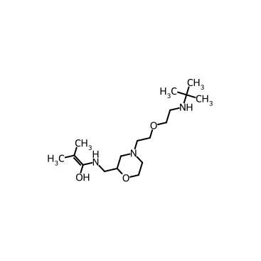 CC(C)=C(O)NCC1CN(CCOCCNC(C)(C)C)CCO1